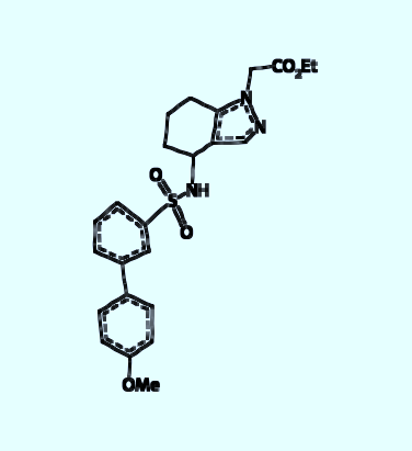 CCOC(=O)Cn1ncc2c1CCCC2NS(=O)(=O)c1cccc(-c2ccc(OC)cc2)c1